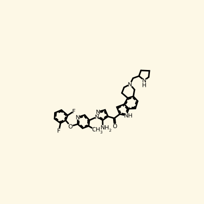 Cc1cc(Oc2c(F)cccc2F)ncc1-n1ncc(C(=O)c2cc3c4c(ccc3[nH]2)CN(CC2CCCN2)CC4)c1N